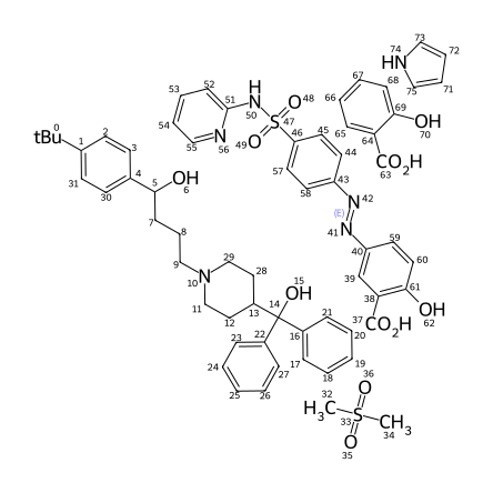 CC(C)(C)c1ccc(C(O)CCCN2CCC(C(O)(c3ccccc3)c3ccccc3)CC2)cc1.CS(C)(=O)=O.O=C(O)c1cc(/N=N/c2ccc(S(=O)(=O)Nc3ccccn3)cc2)ccc1O.O=C(O)c1ccccc1O.c1cc[nH]c1